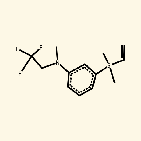 C=C[Si](C)(C)c1cccc(N(C)CC(F)(F)F)c1